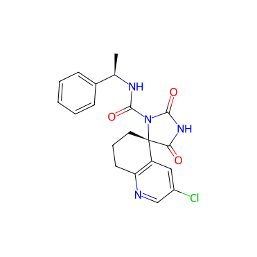 C[C@@H](NC(=O)N1C(=O)NC(=O)[C@@]12CCCc1ncc(Cl)cc12)c1ccccc1